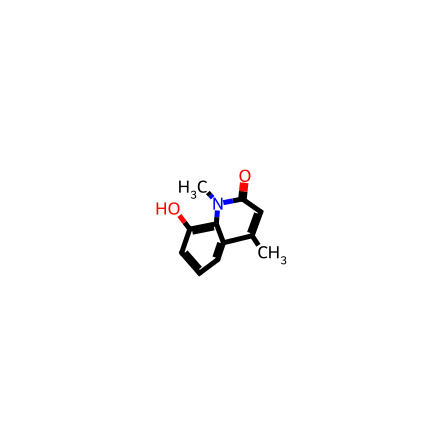 Cc1cc(=O)n(C)c2c(O)cccc12